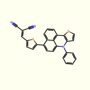 N#CC(C#N)=Cc1ccc(-c2ccc3c4c(cccc24)-c2sccc2N3c2ccccc2)s1